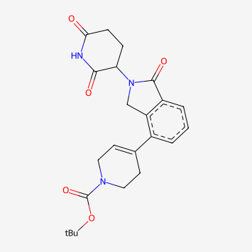 CC(C)(C)OC(=O)N1CC=C(c2cccc3c2CN(C2CCC(=O)NC2=O)C3=O)CC1